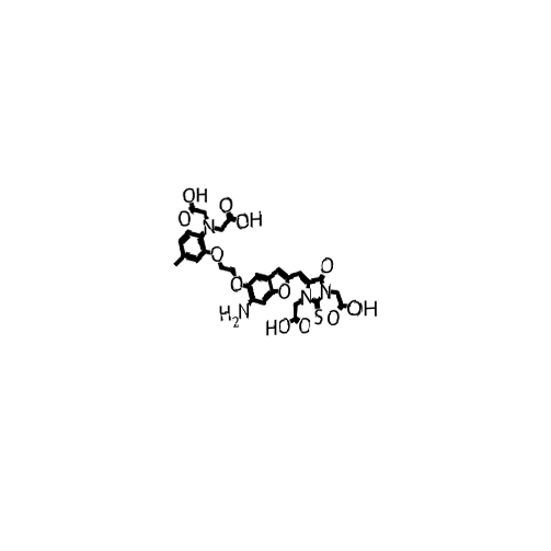 Cc1ccc(N(CC(=O)O)CC(=O)O)c(OCCOc2cc3cc(C=C4C(=O)N(CC(=O)O)C(=S)N4CC(=O)O)oc3cc2N)c1